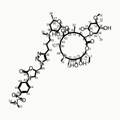 CC[C@H]1OC(=O)[C@H](C)[C@@H](O[C@H]2C[C@@](C)(OC)[C@@H](O)[C@H](C)O2)[C@H](C)[C@@H](O[C@@H]2O[C@H](C)C[C@H](N(C)CCCc3cn(C[C@H]4CN(c5ccc(S(=O)(=O)N(C)C)cc5)C(=O)O4)nn3)[C@H]2O)[C@](C)(O)C[C@@H](C)CN(C)[C@H](C)[C@@H](O)[C@]1(C)O